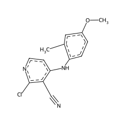 COc1ccc(Nc2ccnc(Cl)c2C#N)c(C)c1